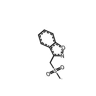 [CH2]S(=O)(=O)Cc1noc2ccccc12